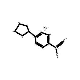 O=S([O-])c1ccc(C2CCCC2)cc1.[Na+]